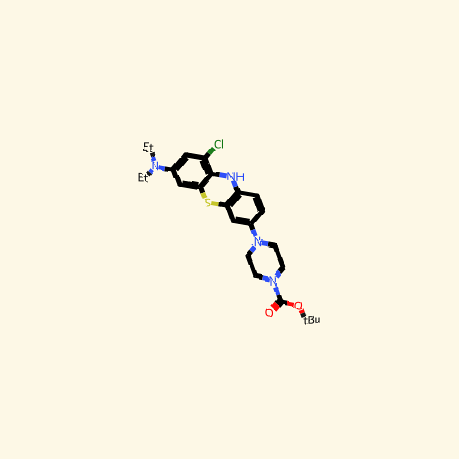 CCN(CC)c1cc(Cl)c2c(c1)Sc1cc(N3CCN(C(=O)OC(C)(C)C)CC3)ccc1N2